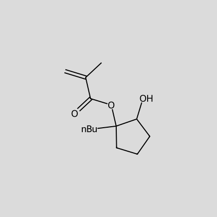 C=C(C)C(=O)OC1(CCCC)CCCC1O